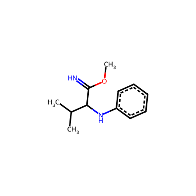 COC(=N)C(Nc1ccccc1)C(C)C